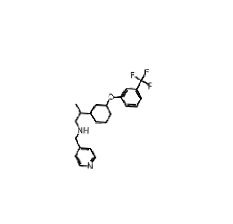 CC(CNCc1ccncc1)C1CCCC(Oc2cccc(C(F)(F)F)c2)C1